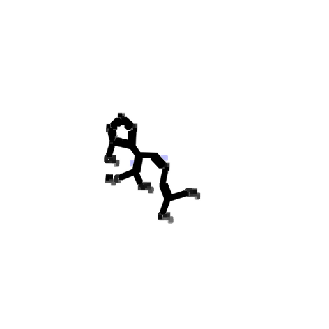 CC(C)=C/N=C\C(=C(\C)N)c1nnnn1C